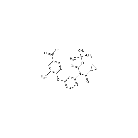 Cc1cc([N+](=O)[O-])cnc1Oc1ccnc(N(C(=O)OC(C)(C)C)C(=O)C2CC2)c1